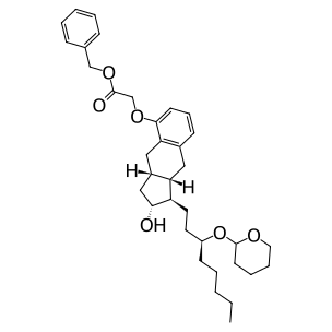 CCCCC[C@@H](CC[C@@H]1[C@H]2Cc3cccc(OCC(=O)OCc4ccccc4)c3C[C@H]2C[C@H]1O)OC1CCCCO1